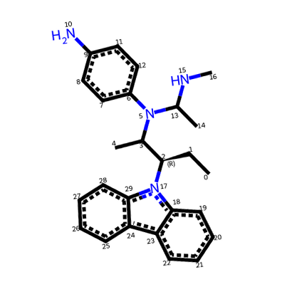 CC[C@H](C(C)N(c1ccc(N)cc1)C(C)NC)n1c2ccccc2c2ccccc21